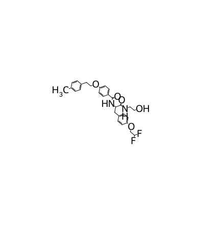 Cc1ccc(CCOc2ccc(C(=O)NC(Cc3ccc(OCC(F)F)cc3)C(=O)NCCO)cc2)cc1